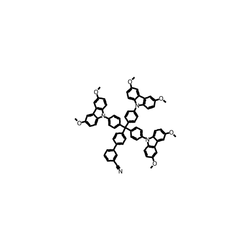 COc1ccc2c(c1)c1cc(OC)ccc1n2-c1ccc(C(c2ccc(-c3cccc(C#N)c3)cc2)(c2ccc(-n3c4ccc(OC)cc4c4cc(OC)ccc43)cc2)c2ccc(-n3c4ccc(OC)cc4c4cc(OC)ccc43)cc2)cc1